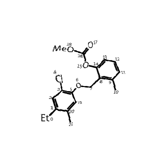 CCc1cc(Cl)c(OCc2c(C)cccc2OC(=O)OC)cc1C